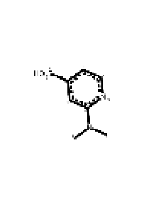 CN(C)c1cc(S(=O)(=O)O)ccn1